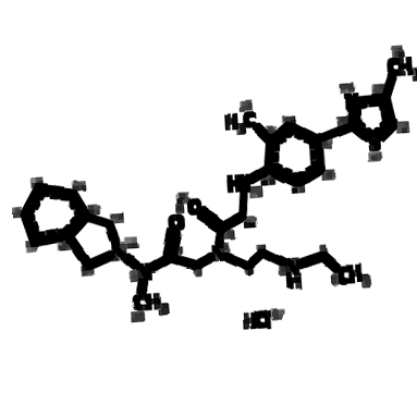 CCNCCN(CC(=O)N(C)N1Cc2ccccc2C1)C(=O)CNc1ccc(-c2nc(C)cs2)cc1C.Cl